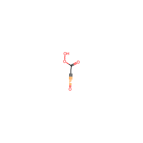 O=P#CC(=O)OO